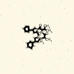 CC(N)C(=O)NC(C(=O)N1CC(c2ccccc2)CC1CN1CCC(c2ccccc2)C1)C(C)C